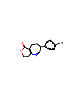 N#Cc1ccc(C2C=NC3=C(CC2)C(=O)OCC3)cc1